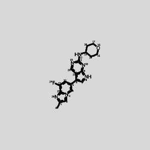 Cc1cn2cc(-c3c[nH]c4nc(NC5CCOCC5)ncc34)cc(F)c2n1